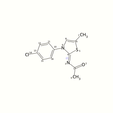 CC(=O)/N=c1\sc(C)cn1-c1ccc(Cl)cc1